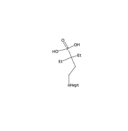 CCCCCCCCCC(CC)(CC)P(=O)(O)O